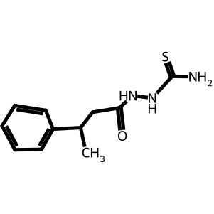 CC(CC(=O)NNC(N)=S)c1ccccc1